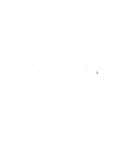 Cn1cccc1C(=O)CCC(=O)N1CCC[C@H]1C(=O)O